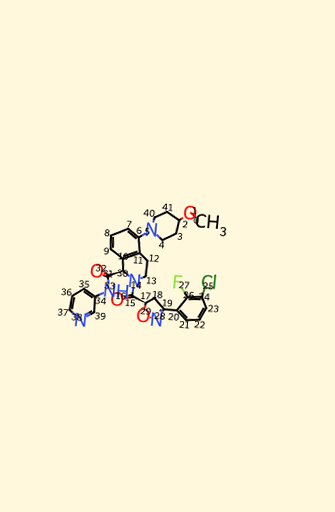 COC1CCN(c2cccc3c2CCN(C(=O)[C@H]2CC(c4cccc(Cl)c4F)=NO2)[C@H]3C(=O)Nc2cccnc2)CC1